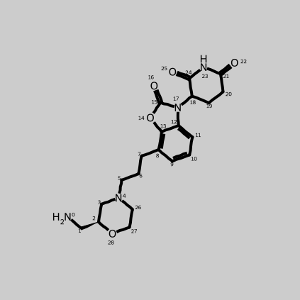 NC[C@H]1CN(CCCc2cccc3c2oc(=O)n3C2CCC(=O)NC2=O)CCO1